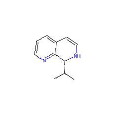 CC(C)C1NC=Cc2cccnc21